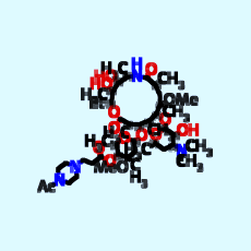 CC[C@H]1OC(=O)[C@H](C)[C@@H](O[C@H]2C[C@@](C)(OC)[C@@H](OC(=O)CCN3CCN(C(C)=O)CC3)[C@H](C)O2)[C@H](C)[C@@H](O[C@@H]2O[C@H](C)C[C@H](N(C)C)[C@H]2O)[C@](C)(OC)C[C@@H](C)C(=O)N[C@H](C)[C@@H](O)[C@]1(C)O